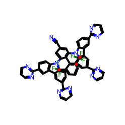 N#Cc1cc(-n2c3ccc(-c4ncccn4)cc3c3cc(-c4ncccn4)ccc32)c(-c2c(C(F)(F)F)cccc2C(F)(F)F)c(-n2c3ccc(-c4ncccn4)cc3c3cc(-c4ncccn4)ccc32)c1